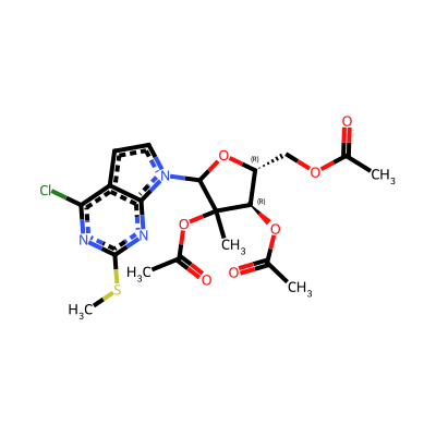 CSc1nc(Cl)c2ccn(C3O[C@H](COC(C)=O)[C@@H](OC(C)=O)C3(C)OC(C)=O)c2n1